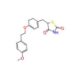 COc1ccc(CCOC2=CC=C(CC3SC(=O)NC3=O)CC2)cc1